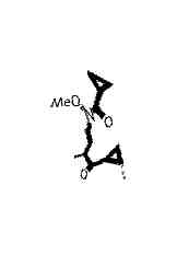 CON(CC[C@H](C)C(=O)C1C[C@@H]1C)C(=O)C1CC1